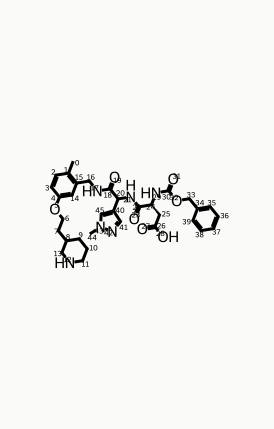 Cc1ccc(OCCC2CCCNC2)cc1CNC(=O)C(NC(=O)[C@H](CC(=O)O)NC(=O)OCc1ccccc1)c1cnn(C)c1